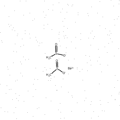 CS(=O)[O-].CS(=O)[O-].[Ba+2]